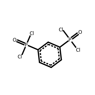 O=P(Cl)(Cl)c1cccc(P(=O)(Cl)Cl)c1